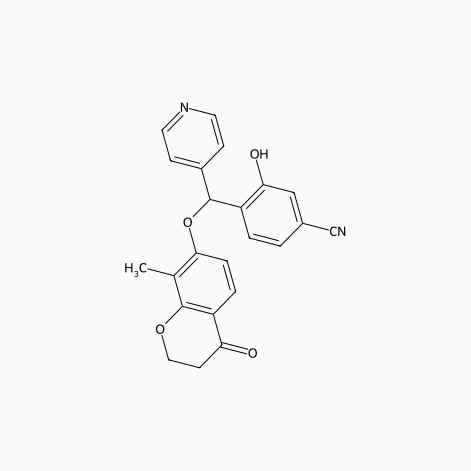 Cc1c(OC(c2ccncc2)c2ccc(C#N)cc2O)ccc2c1OCCC2=O